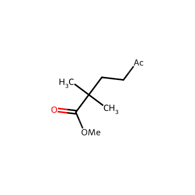 COC(=O)C(C)(C)CCC(C)=O